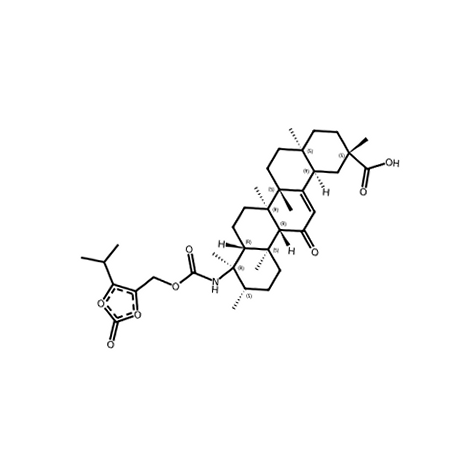 CC(C)c1oc(=O)oc1COC(=O)N[C@@]1(C)[C@@H]2CC[C@]3(C)[C@H](C(=O)C=C4[C@@H]5C[C@@](C)(C(=O)O)CC[C@]5(C)CC[C@]43C)[C@@]2(C)CC[C@@H]1C